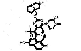 C#Cc1c(F)ccc2cc(O)cc(-c3ncc4c(N5CCN(C)C(CC)C5)nc(OC[C@@]56CCCN5C[C@H](F)C6)nc4c3C(F)(F)Cl)c12